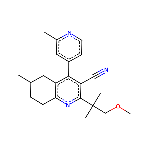 COCC(C)(C)c1nc2c(c(-c3ccnc(C)c3)c1C#N)CC(C)CC2